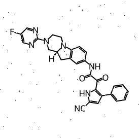 N#Cc1cc(-c2ccccc2)c(C(=O)C(=O)Nc2ccc3c(c2)C[C@@H]2CN(c4ncc(F)cn4)CCN32)[nH]1